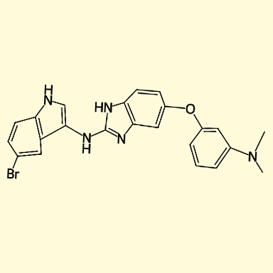 CN(C)c1cccc(Oc2ccc3[nH]c(Nc4c[nH]c5ccc(Br)cc45)nc3c2)c1